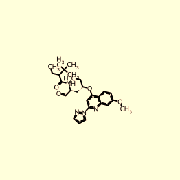 CCC(C(=O)N[C@H](C=O)C[C@H](CC)Oc1cc(-n2cccn2)nc2cc(OC)ccc12)C(C)(C)C